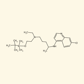 CCN(CCCC(C)Nc1ccnc2cc(Cl)ccc12)CCO[Si](C)(C)C(C)(C)C